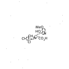 COc1ccc2nccc([C@@H](O)CC[C@@H]3CCN(CC#Cc4c(C)cc(Cl)cc4Cl)C[C@@H]3CC(=O)O)c2c1